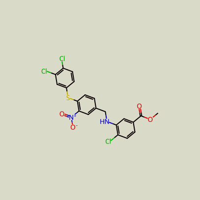 COC(=O)c1ccc(Cl)c(NCc2ccc(Sc3ccc(Cl)c(Cl)c3)c([N+](=O)[O-])c2)c1